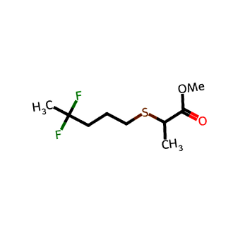 COC(=O)C(C)SCCCC(C)(F)F